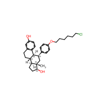 C[C@]12C[C@H](c3ccc(OCCCCCCCl)cc3)[C@@H]3c4ccc(O)cc4CC[C@H]3[C@@H]1CC[C@@H]2O